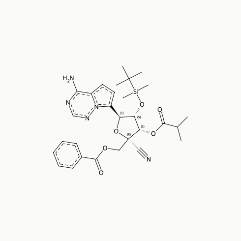 CC(C)C(=O)O[C@H]1[C@@H](O[Si](C)(C)C(C)(C)C)[C@H](c2ccc3c(N)ncnn23)O[C@]1(C#N)COC(=O)c1ccccc1